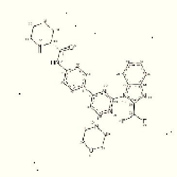 O=C(Nc1ccc(-c2cc(N3CCOCC3)nc(-n3c(C(F)F)nc4ccccc43)n2)cc1)[C@H]1CCCCN1